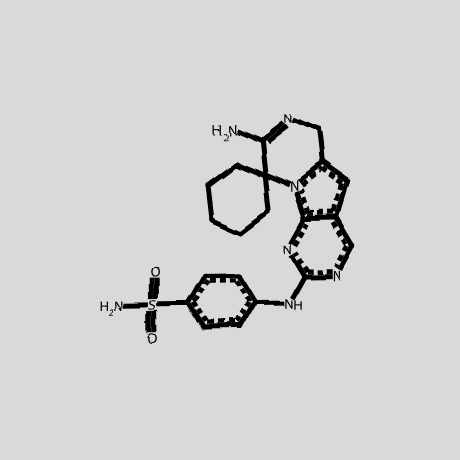 NC1=NCc2cc3cnc(Nc4ccc(S(N)(=O)=O)cc4)nc3n2C12CCCCC2